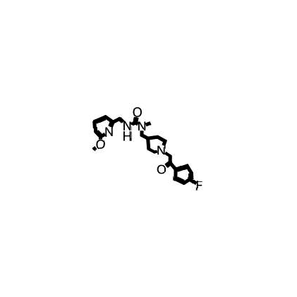 COc1cccc(CNC(=O)N(C)CC2CCN(CC(=O)c3ccc(F)cc3)CC2)n1